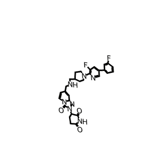 O=C1CCC(n2nc3cc(CNCC4CCN(c5ncc(-c6cccc(F)c6)cc5F)CC4)ccn3c2=O)C(=O)N1